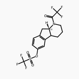 O=C(N1CCCC2c3cc(OS(=O)(=O)C(F)(F)F)ccc3C[C@@H]21)C(F)(F)F